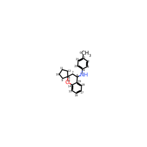 Cc1ccc(NC2CC3(CCCC3)Oc3ccccc32)cc1